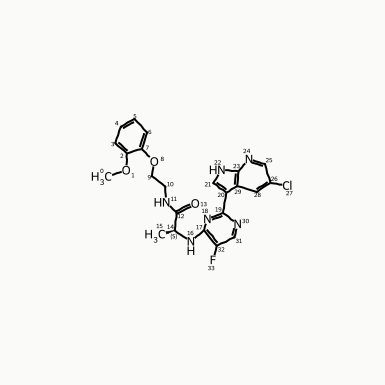 COc1ccccc1OCCNC(=O)[C@H](C)Nc1nc(-c2c[nH]c3ncc(Cl)cc23)ncc1F